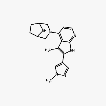 Cc1c(-c2cnn(C)c2)[nH]c2nccc(N3CC4CCC(C3)N4)c12